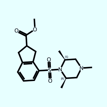 COC(=O)C1Cc2cccc(S(=O)(=O)N3[C@H](C)CN(C)C[C@@H]3C)c2C1